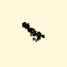 COc1cc([C@@H](O)CN2CCC3(CC2)CCN(c2ccc4nnnn4n2)C3)ncc1C#N